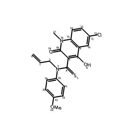 C=CCN(C(=S)c1c(O)c2cc(Cl)ccc2n(C)c1=O)c1ccc(OC)cc1